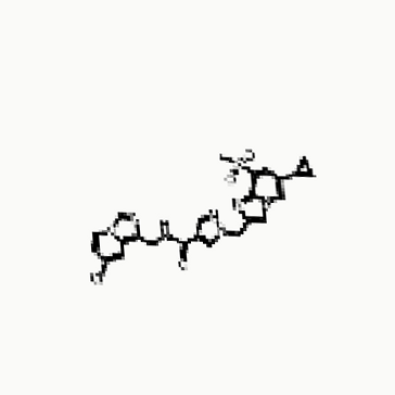 CS(=O)(=O)c1cc(C2CC2)cn2cc(Cn3cc(C(=O)NCc4ncn5ccc(Cl)cc45)cn3)nc12